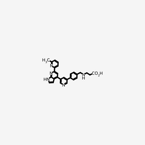 Cc1cccc(-c2cc(-c3cncc(-c4ccc(CNCCC(=O)O)cc4)c3)c3cc[nH]c3n2)n1